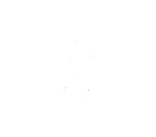 N#Cc1ncc(N2C[C@H](N)C[C@H](C(F)(F)F)C2)c2cccnc12